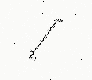 COCCOCCOCCOCCOCCOCOC(=O)CCC(=O)O